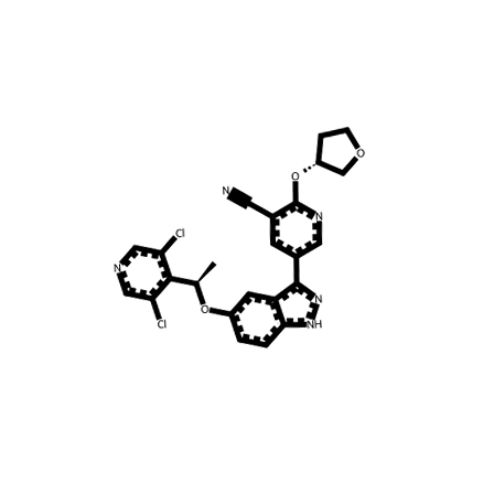 C[C@@H](Oc1ccc2[nH]nc(-c3cnc(O[C@@H]4CCOC4)c(C#N)c3)c2c1)c1c(Cl)cncc1Cl